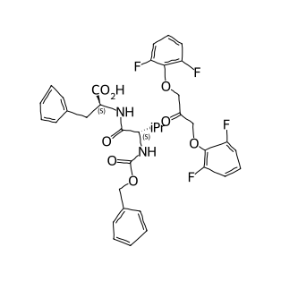 CC(C)[C@H](NC(=O)OCc1ccccc1)C(=O)N[C@@H](Cc1ccccc1)C(=O)O.O=C(COc1c(F)cccc1F)COc1c(F)cccc1F